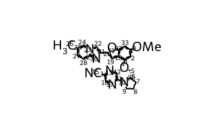 COc1cc(OC[C@@H]2CCCN2c2cnc(C#N)cn2)c2cc(-c3cn4cc(C)ccc4n3)oc2c1